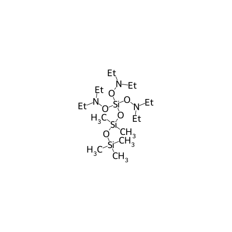 CCN(CC)O[Si](ON(CC)CC)(ON(CC)CC)O[Si](C)(C)O[Si](C)(C)C